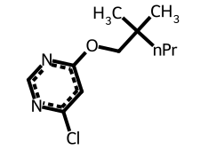 CCCC(C)(C)COc1cc(Cl)ncn1